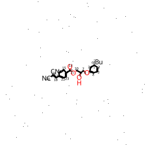 CCC(C)C1C=CC=C(OCC(O)COC(=O)c2ccc(C=C(C#N)C#N)cc2)C1